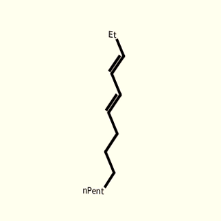 [CH2]CC=CC=CCCCCCCCC